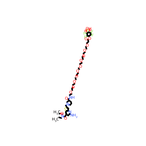 CCCN(OCC)C(=O)C1=Cc2sc(CN3CCC[C@@H](C(=O)NCCOCCOCCOCCOCCOCCOCCOCCOCCOCCOCCC(=O)Oc4c(F)c(F)c(S(=O)(=O)O)c(F)c4F)C3)cc2N=C(N)C1